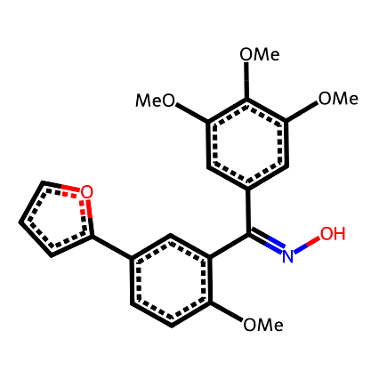 COc1ccc(-c2ccco2)cc1C(=NO)c1cc(OC)c(OC)c(OC)c1